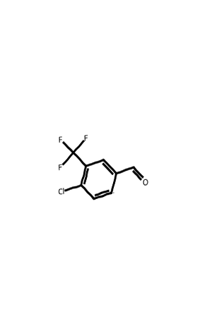 O=Cc1[c]cc(Cl)c(C(F)(F)F)c1